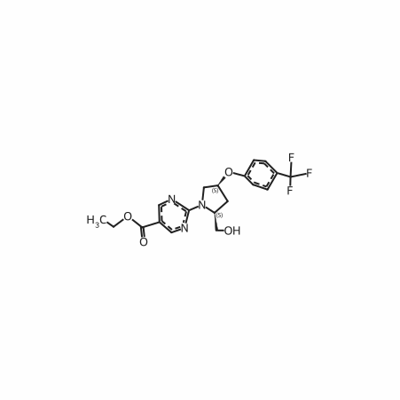 CCOC(=O)c1cnc(N2C[C@@H](Oc3ccc(C(F)(F)F)cc3)C[C@H]2CO)nc1